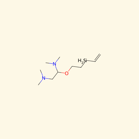 C=C[SiH2]CCOC(CN(C)C)N(C)C